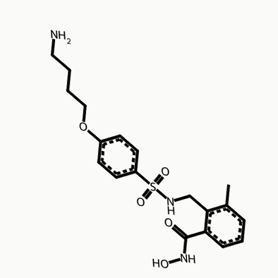 Cc1cccc(C(=O)NO)c1CNS(=O)(=O)c1ccc(OCCCCN)cc1